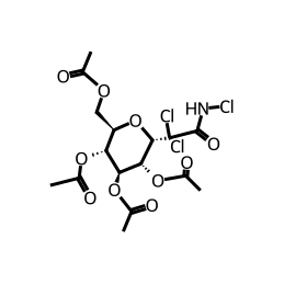 CC(=O)OC[C@H]1O[C@H](C(Cl)(Cl)C(=O)NCl)[C@H](OC(C)=O)[C@@H](OC(C)=O)[C@@H]1OC(C)=O